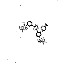 CC(C)(C)NS(=O)(=O)c1cccc(-c2nnc(-c3ccc(S(=O)(=O)NC(C)(C)C)cc3N3CCC4(CC3)CC4)o2)c1